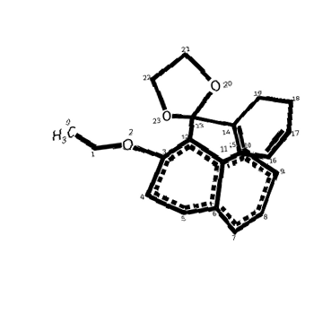 CCOc1ccc2ccccc2c1C1(C2=CC=CCC2)OCCO1